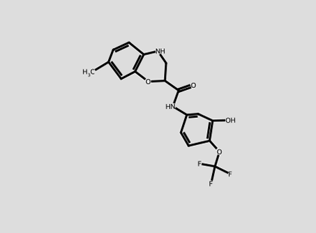 Cc1ccc2c(c1)OC(C(=O)Nc1ccc(OC(F)(F)F)c(O)c1)CN2